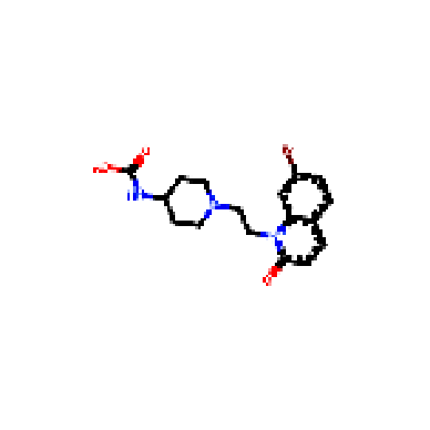 O=C(O)NC1CCN(CCn2c(=O)ccc3ccc(Br)cc32)CC1